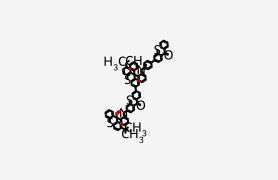 CC(C)c1ccc2c(c1)C1(c3ccccc3S2)c2ccccc2N(c2ccc3c(=O)c4ccc(-c5ccc6c(c5)Sc5ccc(C(C)C)cc5C65c6ccccc6N(c6ccc(-c7ccc8c(=O)c9ccccc9sc8c7)cc6)c6ccccc65)cc4sc3c2)c2ccccc21